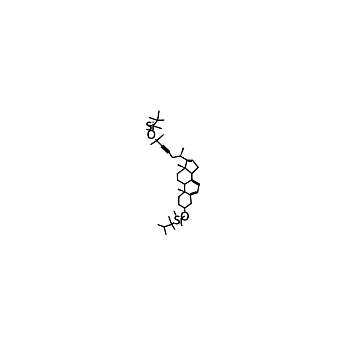 CC(C)C(C)(C)[Si](C)(C)O[C@H]1CC[C@@]2(C)C(=CC=C3C2CC[C@]2(C)C([C@H](C)CC#CC(C)(C)O[Si](C)(C)C(C)(C)C)=CCC32)C1